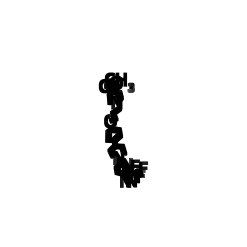 CS(=O)(=O)N1CCN(CCCOc2ccc(C3CCN(c4ccc5nnc(C(F)(F)F)n5n4)CC3)cc2)CC1